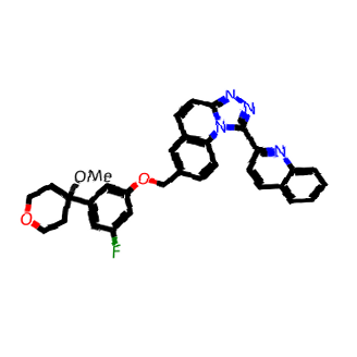 COC1(c2cc(F)cc(OCc3ccc4c(ccc5nnc(-c6ccc7ccccc7n6)n54)c3)c2)CCOCC1